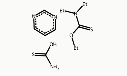 CCOC(=S)N(CC)CC.NC(O)=S.c1cncnc1